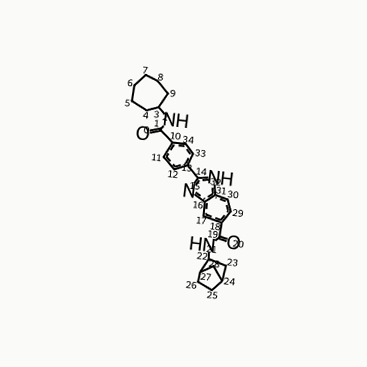 O=C(NC1CCCCCC1)c1ccc(-c2nc3cc(C(=O)NC4CC5CCC4C5)ccc3[nH]2)cc1